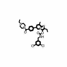 CCc1nc2c(C)cc(-c3ccc(C(=O)N4CCN(CC)CC4)cc3)cn2c1OC(=O)NCc1cc(Cl)cc(Cl)c1